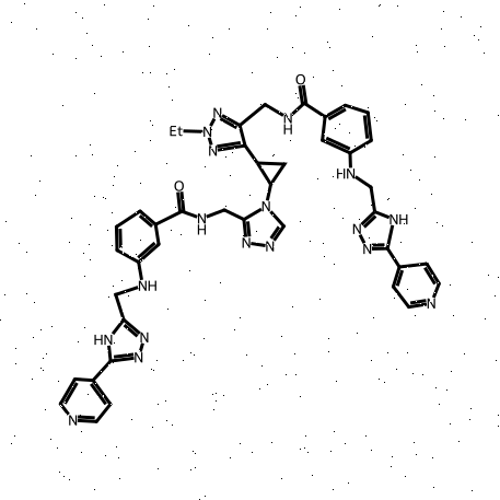 CCn1nc(CNC(=O)c2cccc(NCc3nnc(-c4ccncc4)[nH]3)c2)c(C2CC2n2cnnc2CNC(=O)c2cccc(NCc3nnc(-c4ccncc4)[nH]3)c2)n1